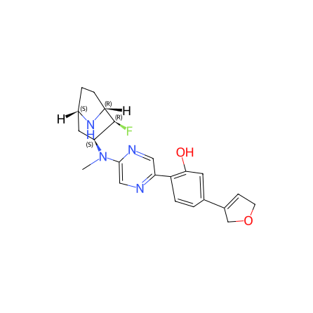 CN(c1cnc(-c2ccc(C3=CCOC3)cc2O)cn1)[C@H]1C[C@@H]2CC[C@@H](N2)[C@H]1F